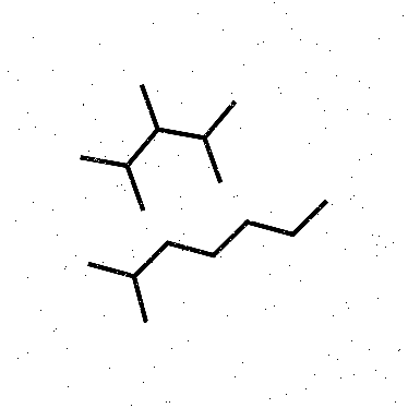 CC(C)C(C)C(C)C.CCCCCC(C)C